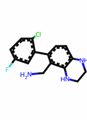 NCc1c(-c2cc(F)ccc2Cl)ccc2c1NCCN2